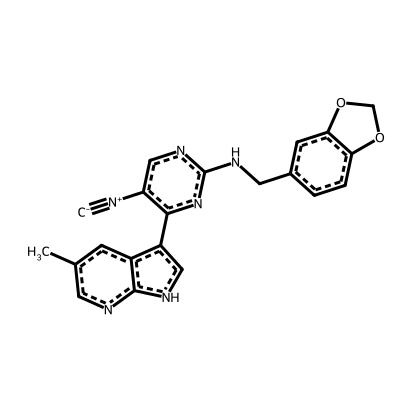 [C-]#[N+]c1cnc(NCc2ccc3c(c2)OCO3)nc1-c1c[nH]c2ncc(C)cc12